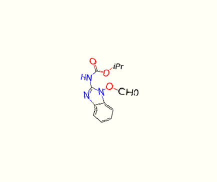 CC(C)OC(=O)Nc1nc2ccccc2n1OC=O